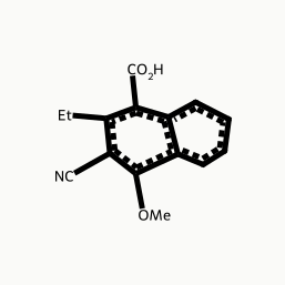 CCc1c(C#N)c(OC)c2ccccc2c1C(=O)O